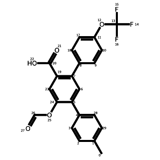 Cc1ccc(-c2cc(-c3ccc(OC(F)(F)F)cc3)c(C(=O)O)cc2OC=O)cc1